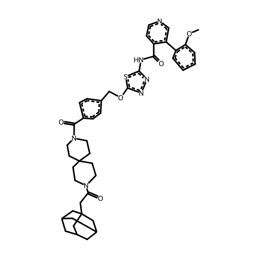 COc1ccccc1-c1cnccc1C(=O)Nc1nnc(OCc2ccc(C(=O)N3CCC4(CCN(C(=O)CC56CC7CC(CC(C7)C5)C6)CC4)CC3)cc2)s1